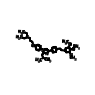 CCN(CC)CCCOc1ccc(-n2cc(-c3ccc(CCc4cc(OC)c(OC)c(OC)c4)cc3)nc2CC(C)C)cc1